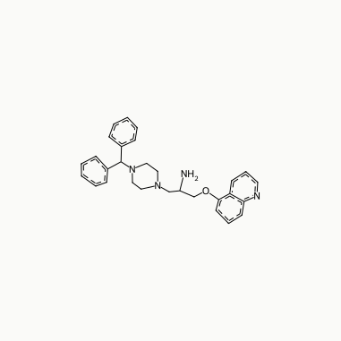 NC(COc1cccc2ncccc12)CN1CCN(C(c2ccccc2)c2ccccc2)CC1